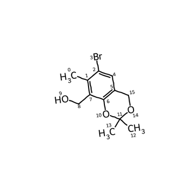 Cc1c(Br)cc2c(c1CO)OC(C)(C)OC2